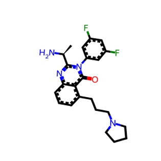 C[C@H](N)c1nc2cccc(CCCN3CCCC3)c2c(=O)n1-c1cc(F)cc(F)c1